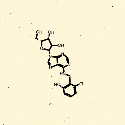 OC[C@H]1O[C@@H](n2cnc3c(NCc4c(O)cccc4Cl)ncnc32)[C@H](O)[C@@H]1O